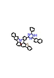 c1ccc(C2N=C(c3ccc(-n4c5ccccc5c5cc6ccccc6cc54)c(-c4cccc5c4sc4ccccc45)c3)N=C(c3ccc4ccccc4c3)N2)cc1